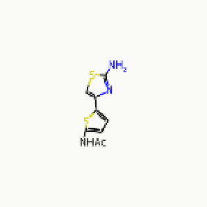 CC(=O)Nc1ccc(-c2csc(N)n2)s1